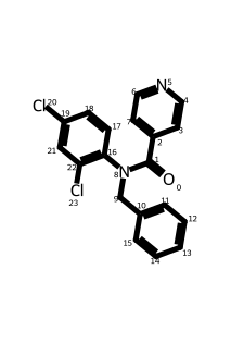 O=C(c1ccncc1)N(Cc1ccccc1)c1ccc(Cl)cc1Cl